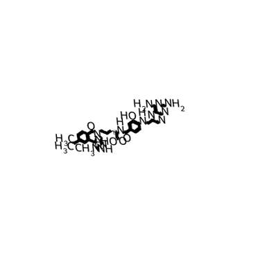 CC(C)(C)c1ccc(C(=O)NCCC[C@H](NC(=O)c2ccc(NCc3cnc4nc(N)nc(N)c4n3)c(O)c2)C(=O)O)c(-c2nn[nH]n2)c1